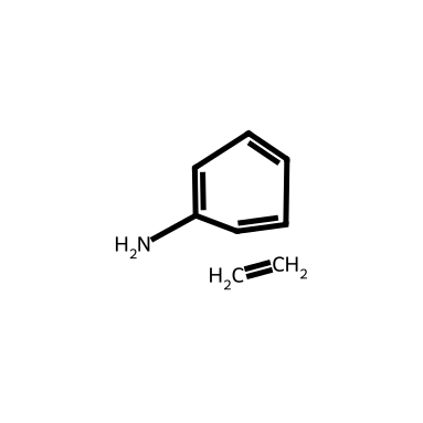 C=C.Nc1ccccc1